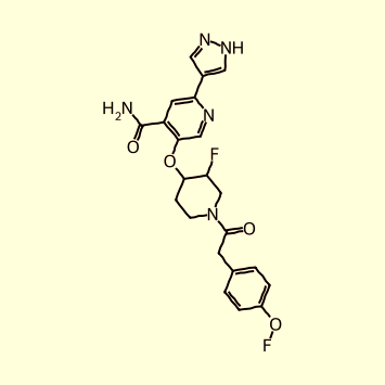 NC(=O)c1cc(-c2cn[nH]c2)ncc1OC1CCN(C(=O)Cc2ccc(OF)cc2)CC1F